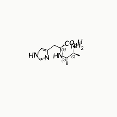 C[C@H](N)[C@@H](C)N[C@@H](Cc1c[nH]cn1)C(=O)O